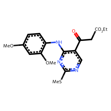 CCOC(=O)CC(=O)c1cnc(SC)nc1Nc1ccc(OC)cc1OC